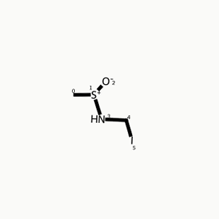 C[S+]([O-])NCI